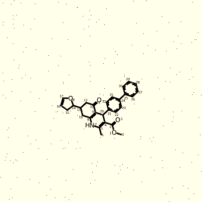 COC(=O)C1=C(C)NC2=C(C(=O)CC(C3CC=CO3)C2)C1c1ccc(-c2ccccc2)cc1